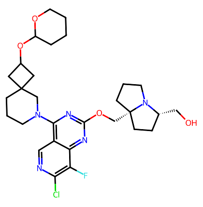 OC[C@@H]1CC[C@@]2(COc3nc(N4CCCC5(CC(OC6CCCCO6)C5)C4)c4cnc(Cl)c(F)c4n3)CCCN12